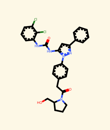 O=C(Nc1cccc(Cl)c1Cl)Nc1cc(-c2ccccc2)nn1-c1ccc(CC(=O)N2CCCC2CO)cc1